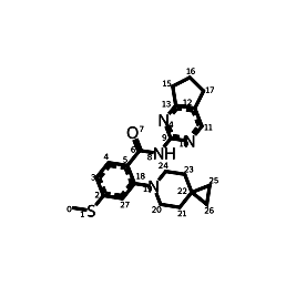 CSc1ccc(C(=O)Nc2ncc3c(n2)CCC3)c(N2CCC3(CC2)CC3)c1